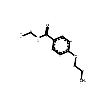 CCCOc1ccc(C(=O)OCCl)cc1